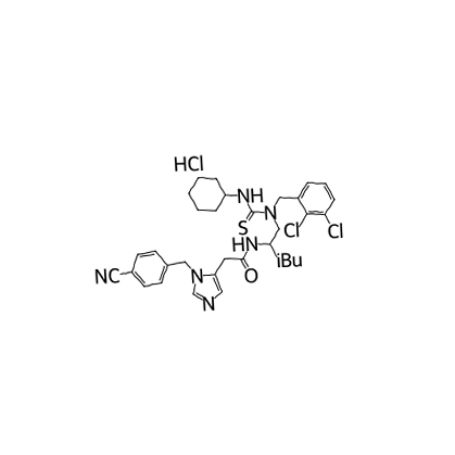 CCC(C)C(CN(Cc1cccc(Cl)c1Cl)C(=S)NC1CCCCC1)NC(=O)Cc1cncn1Cc1ccc(C#N)cc1.Cl